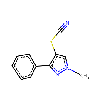 Cn1cc(SC#N)c(-c2ccccc2)n1